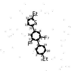 CCc1ccc(-c2c(F)cc(-c3ccc(CC)s3)cc2F)cc1